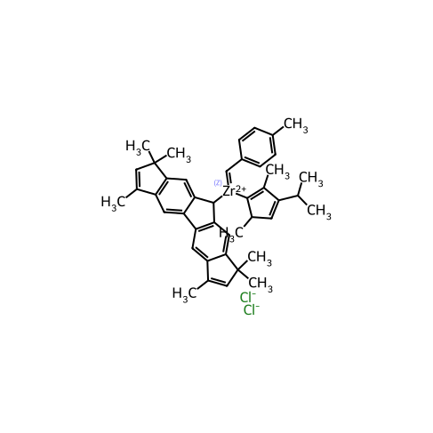 CC1=CC(C)(C)c2cc3c(cc21)-c1cc2c(cc1[CH]3/[Zr+2](=[CH]/c1ccc(C)cc1)[C]1=C(C)C(C(C)C)=CC1C)C(C)(C)C=C2C.[Cl-].[Cl-]